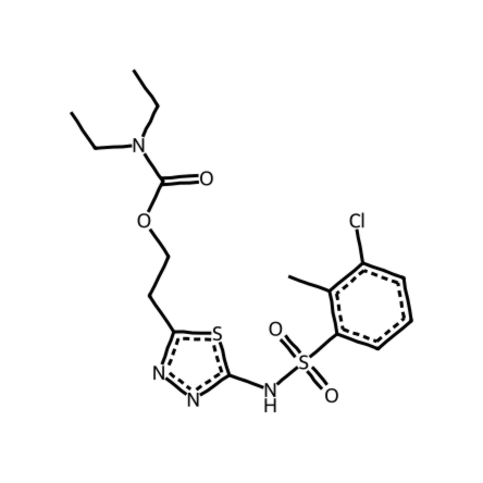 CCN(CC)C(=O)OCCc1nnc(NS(=O)(=O)c2cccc(Cl)c2C)s1